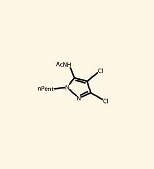 CCCCCn1nc(Cl)c(Cl)c1NC(C)=O